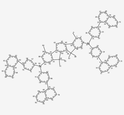 Cc1cc(N(c2ccc(-c3cccc4ccccc34)cc2)c2ccc(-c3cccc4ccccc34)cc2)cc2c1-c1ccc3c(c1C2(C)C)C(C)(C)c1cc(N(c2ccc(-c4cccc5ccccc45)cc2)c2ccc(-c4cccc5ccccc45)cc2)cc(C)c1-3